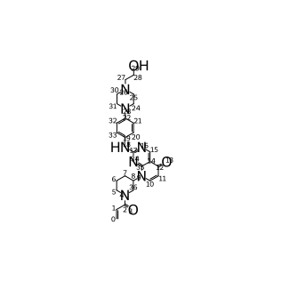 C=CC(=O)N1CCCC(n2ccc(=O)c3cnc(Nc4ccc(N5CCN(CCO)CC5)cc4)nc32)C1